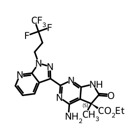 CCOC(=O)[C@]1(C)C(=O)Nc2nc(-c3nn(CCC(F)(F)C(F)(F)F)c4ncccc34)nc(N)c21